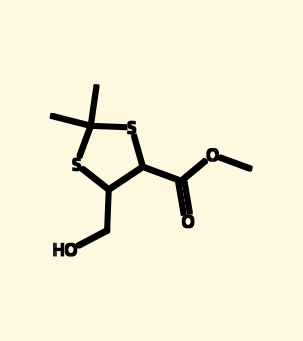 COC(=O)C1SC(C)(C)SC1CO